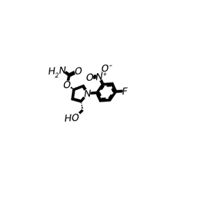 NC(=O)O[C@H]1C[C@@H](CO)N(c2ccc(F)cc2[N+](=O)[O-])C1